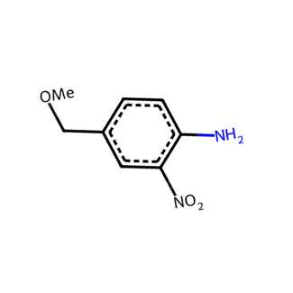 COCc1ccc(N)c([N+](=O)[O-])c1